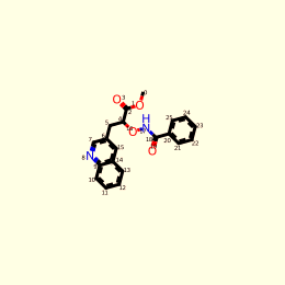 COC(=O)C(Cc1cnc2ccccc2c1)ONC(=O)c1ccccc1